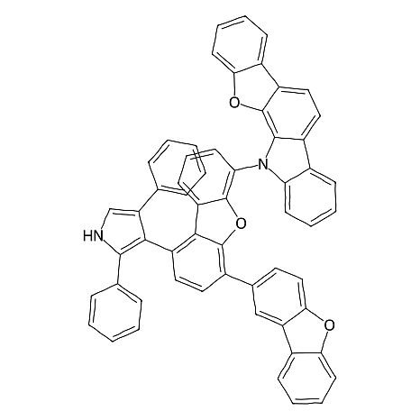 c1ccc(-c2c[nH]c(-c3ccccc3)c2-c2ccc(-c3ccc4oc5ccccc5c4c3)c3oc4c(-n5c6ccccc6c6ccc7c8ccccc8oc7c65)cccc4c23)cc1